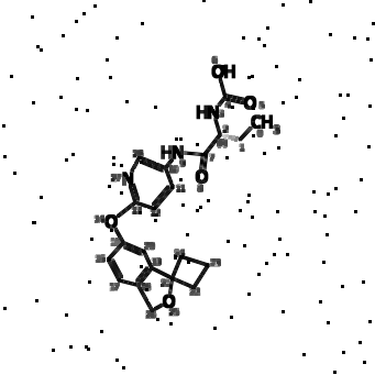 CC[C@@H](NC(=O)O)C(=O)Nc1ccc(Oc2ccc3c(c2)C2(CCC2)OC3)nc1